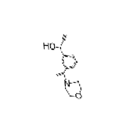 C#CC(O)c1cccc(C(=C)N2CCOCC2)c1